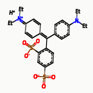 CCN(CC)c1ccc(C(=C2C=CC(=[N+](CC)CC)C=C2)c2ccc(S(=O)(=O)[O-])cc2S(=O)(=O)[O-])cc1.[H+]